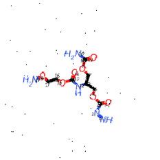 N=NC(=O)OCC(COC(N)=O)NC(=O)OCCON